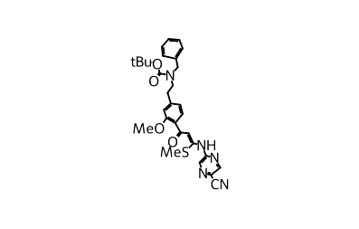 COc1cc(CCN(Cc2ccccc2)C(=O)OC(C)(C)C)ccc1C(=O)/C=C(/Nc1cnc(C#N)cn1)SC